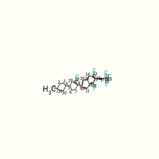 CC1CCC(C2CCC(c3ccc4c(F)c(C#CC(F)(F)F)c(F)cc4c3)=C(F)C2)CC1